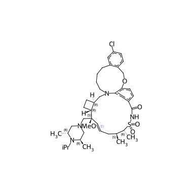 CO[C@]1(CN2C[C@@H](C)N(C(C)C)[C@H](C)C2)/C=C/C[C@H](C)[C@@H](C)S(=O)(=O)NC(=O)c2ccc3c(c2)N(CCCCc2cc(Cl)ccc2CO3)C[C@@H]2CC[C@H]21